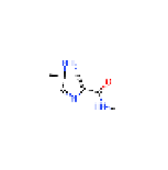 CNC(=O)C1=C[C@@](C)(N)C=N1